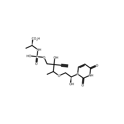 C#CC(O)(COP(=O)(O)N[C@@H](C)C(=O)O)C(C)OC[C@H](O)n1ccc(=O)[nH]c1=O